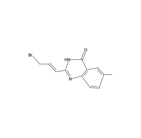 Cc1ccc2nc(C=CCBr)[nH]c(=O)c2c1